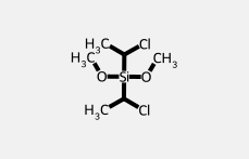 CO[Si](OC)(C(C)Cl)C(C)Cl